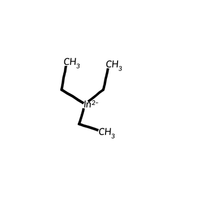 C[CH2][In-2]([CH2]C)[CH2]C